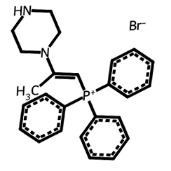 CC(=C[P+](c1ccccc1)(c1ccccc1)c1ccccc1)N1CCNCC1.[Br-]